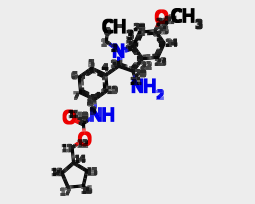 CCn1c(-c2cccc(NC(=O)OCC3CCCC3)c2)c(N)c2ccc(OC)cc21